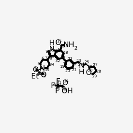 CCS(=O)(=O)N1CCC(c2c[nH]c3c(C(N)=O)cc(-c4cccc(CNC[C@H]5CCCO5)c4)cc23)CC1.O=C(O)C(F)(F)F